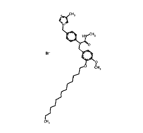 CCCCCCCCCCCCCCOc1cc(CN(C(=O)NC)c2ccc(C[n+]3csc(C)c3)cc2)ccc1OC.[Br-]